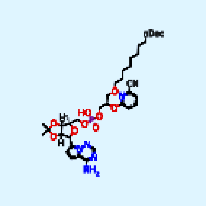 CCCCCCCCCCCCCCCCCCOC[C@H](COP(=O)(O)OC[C@@]1(C)O[C@@H](c2ccc3c(N)ncnn23)[C@@H]2OC(C)(C)O[C@@H]21)Oc1cccc(C#N)n1